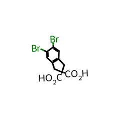 O=C(O)C1(C(=O)O)Cc2cc(Br)c(Br)cc2C1